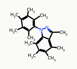 Cc1c(C)c(C)c(-n2nc(C)c3c(C)c(C)c(C)c(C)c32)c(C)c1C